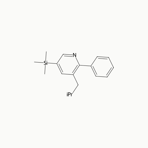 CC(C)Cc1cc([Si](C)(C)C)cnc1-c1ccccc1